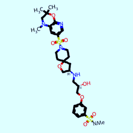 CNS(=O)(=O)c1cccc(OC[C@@H](O)CN[C@H]2COC3(CCN(S(=O)(=O)c4cnc5c(c4)N(C)CC(C)(C)O5)CC3)C2)c1